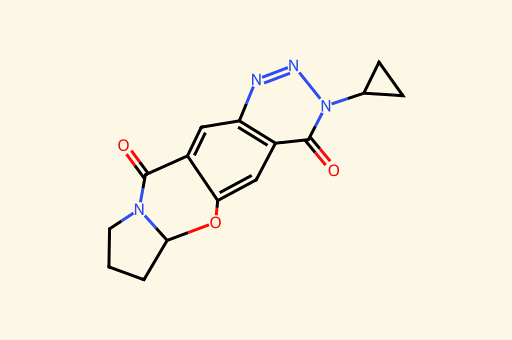 O=C1c2cc3nnn(C4CC4)c(=O)c3cc2OC2CCCN12